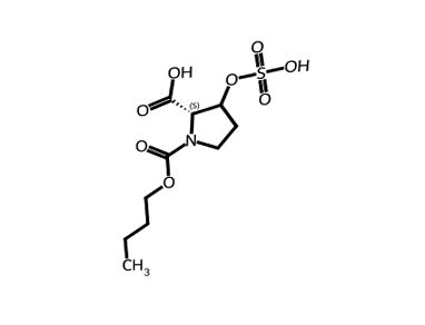 CCCCOC(=O)N1CCC(OS(=O)(=O)O)[C@H]1C(=O)O